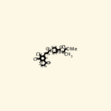 COC(=O)C(C)NC(=O)C1CCN(C(=O)C=Cc2cc3c(c(Cl)c2Cl)SCCC3=O)CC1